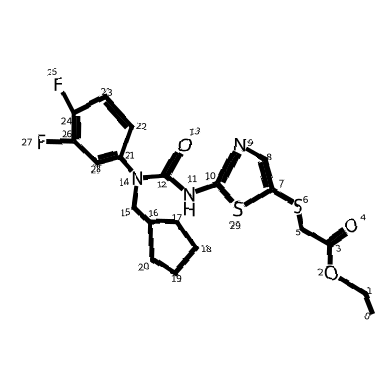 CCOC(=O)CSc1cnc(NC(=O)N(CC2CCCC2)c2ccc(F)c(F)c2)s1